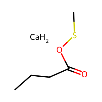 CCCC(=O)OSC.[CaH2]